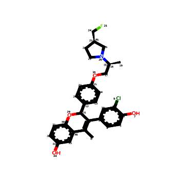 CC1=C(c2ccc(O)c(Cl)c2)C(c2ccc(OC[C@H](C)N3CC[C@@H](CF)C3)cc2)Oc2ccc(O)cc21